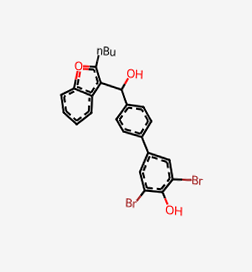 CCCCc1oc2ccccc2c1C(O)c1ccc(-c2cc(Br)c(O)c(Br)c2)cc1